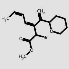 C=C(/C(=C\C=C/C)C(Br)C(=O)OC)C1CCCCO1